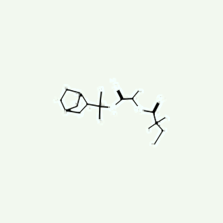 CCC(C)(C)C(=O)OC(C)C(=O)OC(C)(C)C1CC2CCC1C2